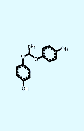 CCCC(Oc1ccc(O)cc1)Oc1ccc(O)cc1